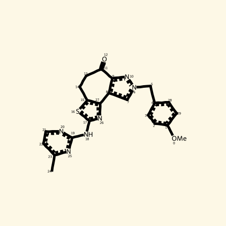 COc1ccc(Cn2cc3c(n2)C(=O)CCc2sc(Nc4nccc(C)n4)nc2-3)cc1